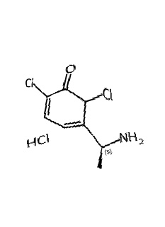 C[C@H](N)C1=CC=C(Cl)C(=O)C1Cl.Cl